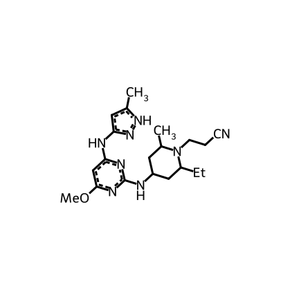 CCC1CC(Nc2nc(Nc3cc(C)[nH]n3)cc(OC)n2)CC(C)N1CCC#N